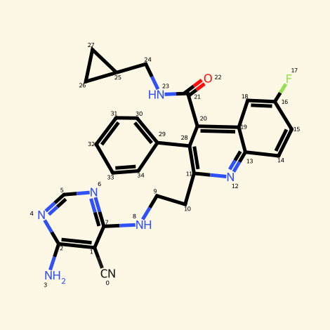 N#Cc1c(N)ncnc1NCCc1nc2ccc(F)cc2c(C(=O)NCC2CC2)c1-c1ccccc1